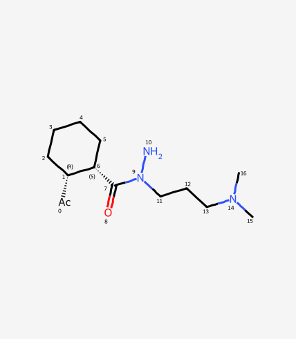 CC(=O)[C@@H]1CCCC[C@@H]1C(=O)N(N)CCCN(C)C